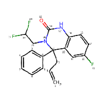 C=CCC1(c2ccccc2)c2cc(F)ccc2NC(=O)N1CC(F)F